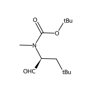 CN(C(=O)OC(C)(C)C)[C@H](C=O)CC(C)(C)C